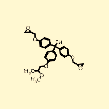 COC(C)COc1ccc(C(C)(c2ccc(OCC3CO3)cc2)c2ccc(OCC3CO3)cc2)cc1